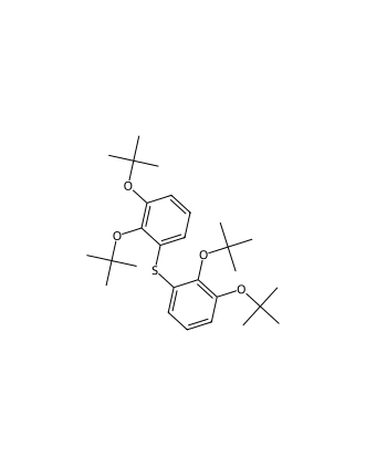 CC(C)(C)Oc1cccc(Sc2cccc(OC(C)(C)C)c2OC(C)(C)C)c1OC(C)(C)C